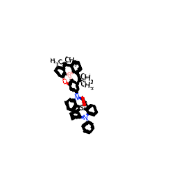 CC1(C)c2cccc3c2B2c4c(cc(N5c6ccccc6[Si]6(c7ccccc7N(c7ccccc7)c7ccccc76)c6ccccc65)cc4C(C)(C)c4cccc1c42)O3